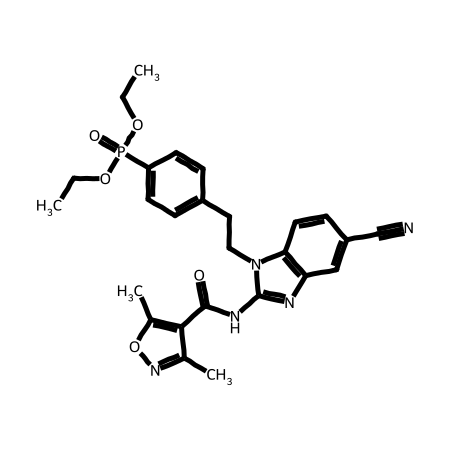 CCOP(=O)(OCC)c1ccc(CCn2c(NC(=O)c3c(C)noc3C)nc3cc(C#N)ccc32)cc1